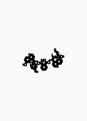 CC/C=C1/CCN1[C@H](I)[C@@H](COc1nnc(OC[C@@H](c2ccnc3ccc(OC)cc23)[C@H]2CC3CCN2CC3CC)c2ccccc12)c1ccnc2ccc(OC)cc12